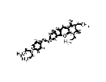 CCN1C(=O)C(=Cc2cc3sc(/N=N/c4ccc(N(CC)CC)cc4)nc3s2)C(=O)N(CC)C1=S